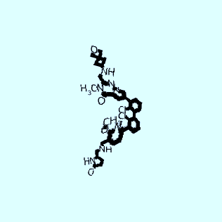 COc1nc(-c2cccc(-c3cccc(-c4cc5c(=O)n(C)c(CNC6CC7(COC7)C6)nn5c4)c3Cl)c2Cl)ccc1CNCC1CCC(=O)N1